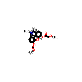 COCOc1ccc2c3c1O[C@H]1[C@@H](OC(=O)COC)C=C[C@H]4[C@@H](C2)N(C)CC[C@@]341